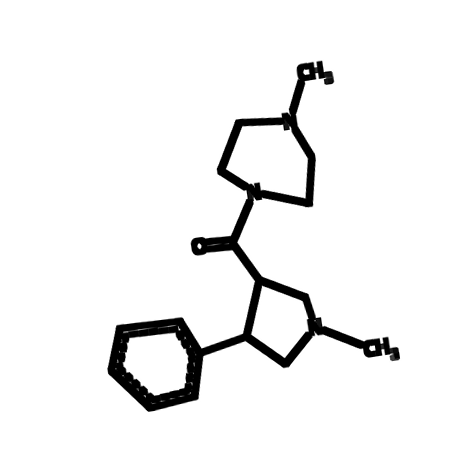 CN1CCN(C(=O)C2CN(C)CC2c2ccccc2)CC1